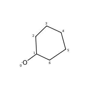 [O]C1CCCCC1